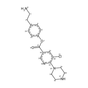 NCCc1ccc(OC(=O)c2cnc(N3CCNCC3)c(Cl)c2)cc1